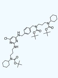 CC(C)(C)OC(=O)N(CCCN(C(=O)OC(C)(C)C)C1CCCCC1)Cc1ccc(CNc2cc(Cl)nc(NCCCN(C(=O)OC(C)(C)C)C3CCCCC3)n2)cc1